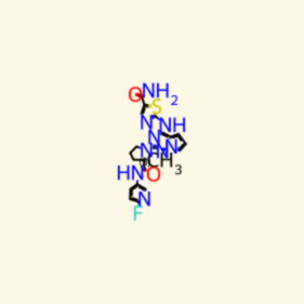 C[C@@]1(C(=O)Nc2ccc(F)nc2)CCCN1c1nc(Nc2ncc(C(N)=O)s2)c2cccn2n1